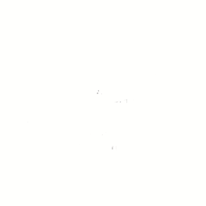 CCCC1=Cc2c(-c3ccc(-c4ccccc4)cc3)cccc2[CH]1[Zr]([Cl])([Cl])([c]1c(C(C)(C)C)ccc2c1Cc1cc(C(C)(C)C)ccc1-2)[SiH](c1ccccc1)c1ccccc1